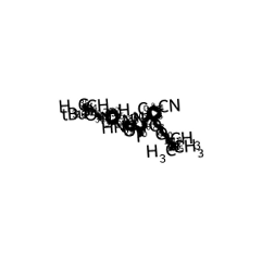 Cc1cc(C#N)cc(OCOCC[Si](C)(C)C)c1-c1cc(F)c2oc(N[C@@H]3CCCN(CCO[Si](C)(C)C(C)(C)C)C3)nc2n1